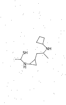 CC(S)NC1CC1CC(C)NC1CCC1